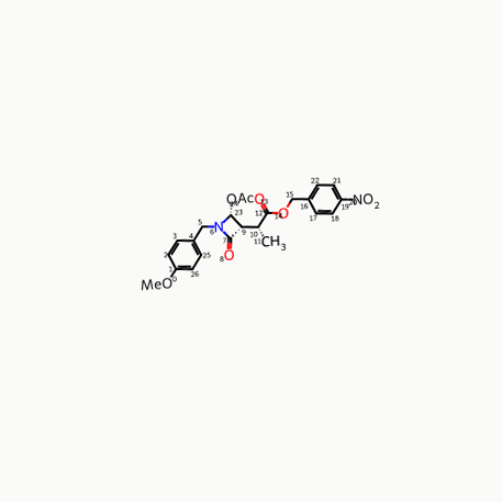 COc1ccc(CN2C(=O)[C@@H]([C@@H](C)C(=O)OCc3ccc([N+](=O)[O-])cc3)[C@H]2OC(C)=O)cc1